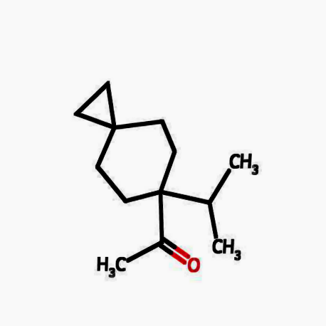 CC(=O)C1(C(C)C)CCC2(CC2)CC1